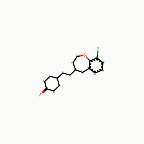 O=C1CCC(CCC2CCOc3c(Cl)cccc3C2)CC1